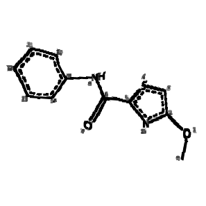 COc1csc(C(=O)Nc2ccccc2)n1